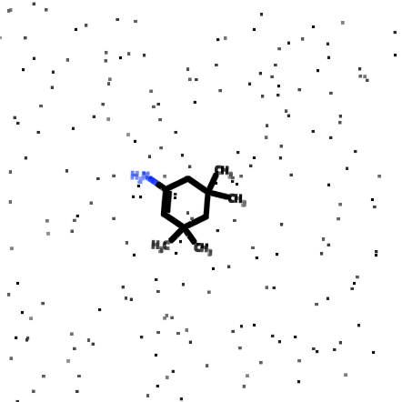 CC1(C)C=C(N)CC(C)(C)C1